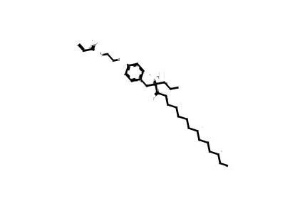 C=CC(=O)OCCOc1ccc(CC(O)(CCC)C(=O)CCCCCCCCCCCCC)cc1